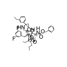 CCCC(CCC)S(=O)(=O)C[C@@H](NC(=O)OCc1ccccc1)C(=O)N[C@@H](Cc1cc(F)cc(F)c1)[C@H](O)CNC1(c2cccc(CC)c2)CC1